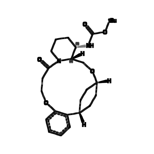 CC(C)(C)OC(=O)N[C@H]1CCCN2C(=O)CCOc3ccccc3[C@H]3CC[C@H](CC3)OC[C@@H]12